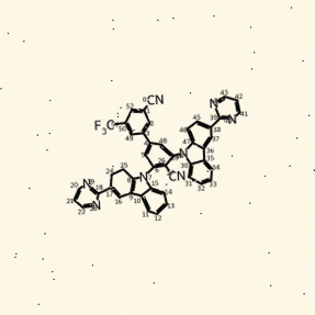 N#Cc1cc(-c2cc(-n3c4c(c5ccccc53)C=C(c3ncccn3)CC4)c(C#N)c(-n3c4ccccc4c4cc(-c5ncccn5)ccc43)c2)cc(C(F)(F)F)c1